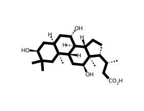 C[C@H](CC(=O)O)[C@H]1CC[C@H]2[C@@H]3[C@@H](O)C[C@@H]4C[C@H](O)C(C)(C)C[C@]4(C)[C@H]3C[C@H](O)[C@]12C